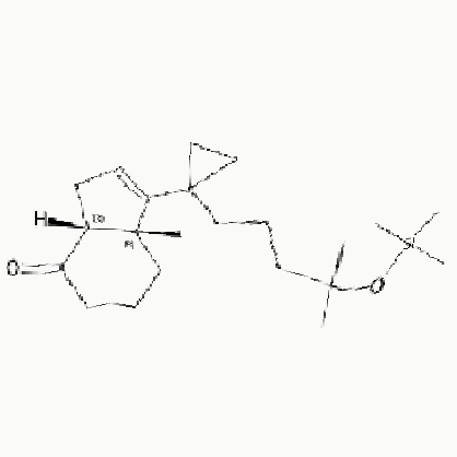 CC(C)(CCCC1(C2=CC[C@H]3C(=O)CCC[C@@]23C)CC1)O[Si](C)(C)C